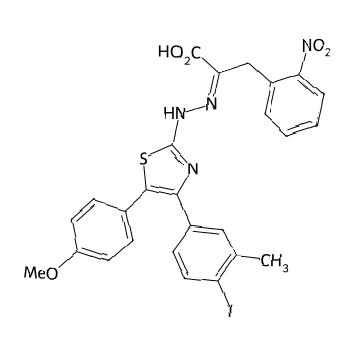 COc1ccc(-c2sc(N/N=C(/Cc3ccccc3[N+](=O)[O-])C(=O)O)nc2-c2ccc(I)c(C)c2)cc1